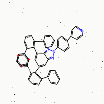 c1ccc(-c2cccc(-c3ccccc3)c2-c2cc(-c3c(-c4ccccc4)cccc3-c3ccccc3)c3nn(-c4ccc(-c5ccncc5)cc4)nc3c2)cc1